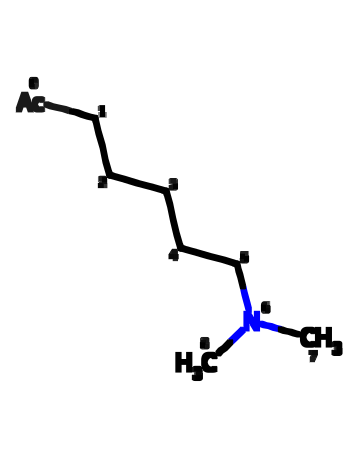 CC(=O)CCCCCN(C)C